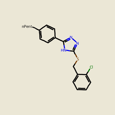 CCCCCc1ccc(-c2nnc(SCc3ccccc3Cl)[nH]2)cc1